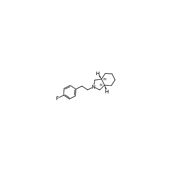 Fc1ccc(CCN2C[C@H]3CCCC[C@H]3C2)cc1